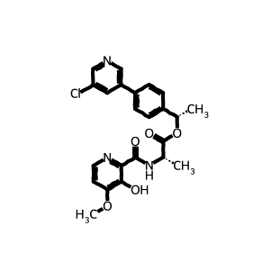 COc1ccnc(C(=O)N[C@@H](C)C(=O)O[C@@H](C)c2ccc(-c3cncc(Cl)c3)cc2)c1O